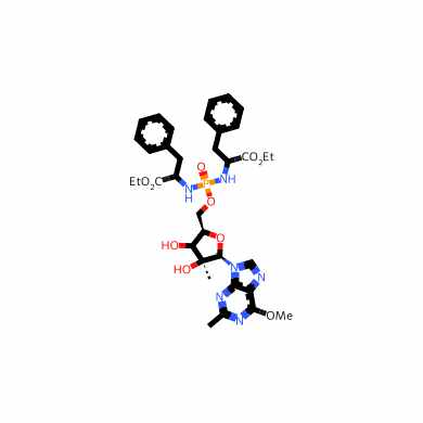 CCOC(=O)C(Cc1ccccc1)NP(=O)(NC(Cc1ccccc1)C(=O)OCC)OC[C@H]1O[C@@H](n2cnc3c(OC)nc(C)nc32)[C@@](C)(O)C1O